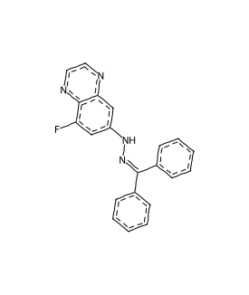 Fc1cc(NN=C(c2ccccc2)c2ccccc2)cc2nccnc12